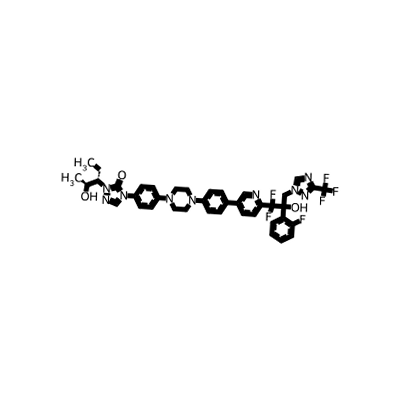 CC[C@@H]([C@H](C)O)n1ncn(-c2ccc(N3CCN(c4ccc(-c5ccc(C(F)(F)C(O)(Cn6cnc(C(F)(F)F)n6)c6ccccc6F)nc5)cc4)CC3)cc2)c1=O